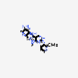 COc1ncccc1Nc1ncc2c(Nc3cc(N)cnc3C)nn(C)c2n1